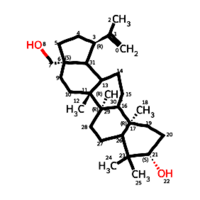 C=C(C)[C@@H]1CC[C@]2(CO)CC[C@]3(C)C(CCC4[C@@]5(C)CC[C@H](O)C(C)(C)C5CC[C@]43C)C12